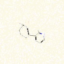 CC1(O)C=C(c2cccnc2F)CCC1